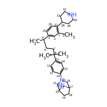 Cc1cc(C(C)CCC(C)(C)c2ccc(N3CC4CCC(C3)N4)cc2)ccc1C1CCNCC1